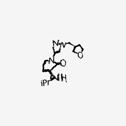 CC(C)Nc1cccn(-c2cnn(C[C@H]3CCOC3)c2)c1=O